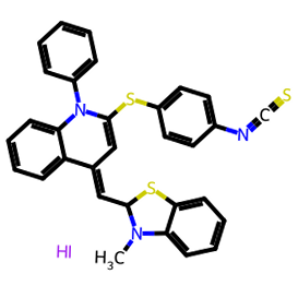 CN1c2ccccc2SC1C=C1C=C(Sc2ccc(N=C=S)cc2)N(c2ccccc2)c2ccccc21.I